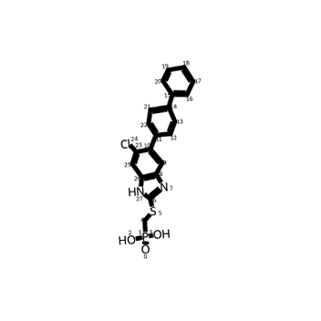 O=P(O)(O)CSc1nc2cc(-c3ccc(-c4ccccc4)cc3)c(Cl)cc2[nH]1